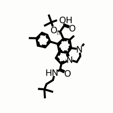 Cc1ccc(-c2c([C@H](OC(C)(C)C)C(=O)O)c(C)c3c4c2cc(C(=O)NCCC(C)(C)C)n4CCN3C)cc1